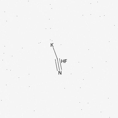 F.N#[C][K]